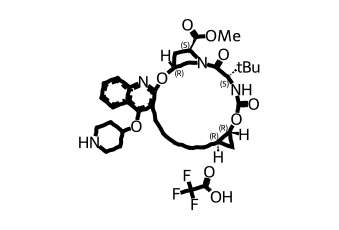 COC(=O)[C@@H]1C[C@@H]2CN1C(=O)[C@H](C(C)(C)C)NC(=O)O[C@@H]1C[C@H]1CCCCCc1c(nc3ccccc3c1OC1CCNCC1)O2.O=C(O)C(F)(F)F